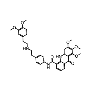 COc1ccc(CCNCCc2ccc(NC(=O)c3cccc4c(=O)c5c(OC)c(OC)c(OC)cc5[nH]c34)cc2)cc1OC